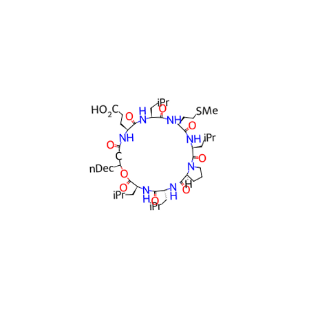 CCCCCCCCCCC1CC(=O)N[C@@H](CCC(=O)O)C(=O)N[C@@H](CC(C)C)C(=O)N[C@@H](CCSC)C(=O)N[C@@H](CC(C)C)C(=O)N2CCC[C@H]2C(=O)N[C@H](CC(C)C)C(=O)N[C@@H](CC(C)C)C(=O)O1